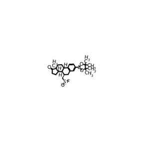 CC1(C)OB(c2ccc3c(c2)C[C@@H](C[S@+]([O-])F)[C@@H]2[C@@H]3CC[C@]3(C)C(=O)CC[C@@H]23)OC1(C)C